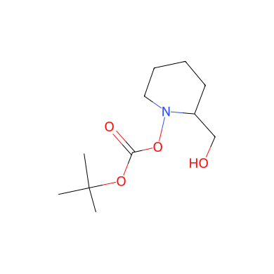 CC(C)(C)OC(=O)ON1CCCCC1CO